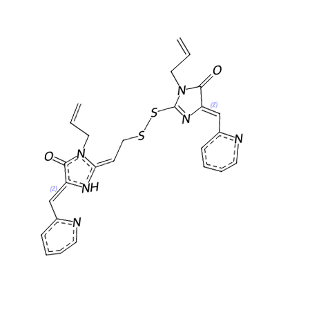 C=CCN1C(=O)/C(=C/c2ccccn2)N=C1SSCC=c1[nH]/c(=C\c2ccccn2)c(=O)n1CC=C